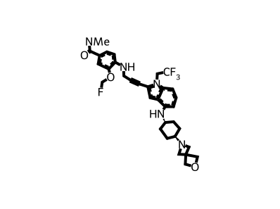 CNC(=O)c1ccc(NCC#Cc2cc3c(N[C@H]4CC[C@H](N5CC6(COC6)C5)CC4)cccc3n2CC(F)(F)F)c(OCF)c1